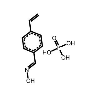 C=Cc1ccc(/C=N/O)cc1.O=P(O)(O)O